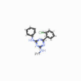 CC(C)Nc1nc(Nc2ccccc2)nc(-c2ccccc2Cl)n1